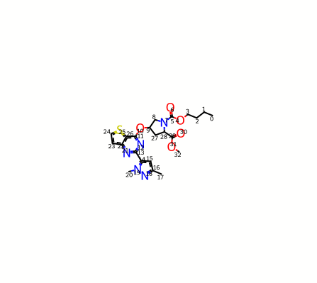 CCCCOC(=O)N1CC(Oc2nc(-c3cc(C)nn3C)nc3ccsc23)CC1C(=O)OC